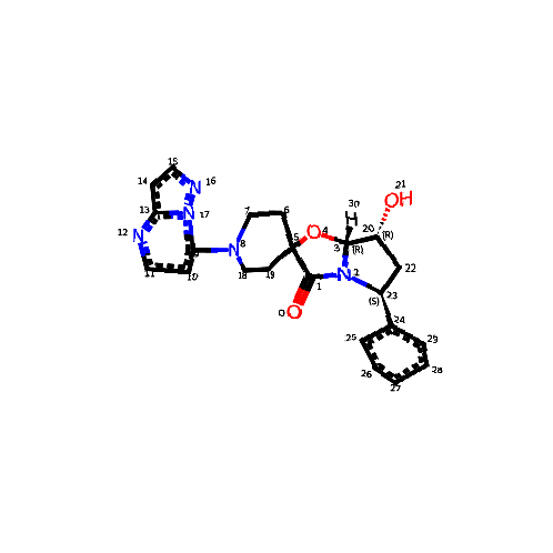 O=C1N2[C@H](OC13CCN(c1ccnc4ccnn14)CC3)[C@H](O)C[C@H]2c1ccccc1